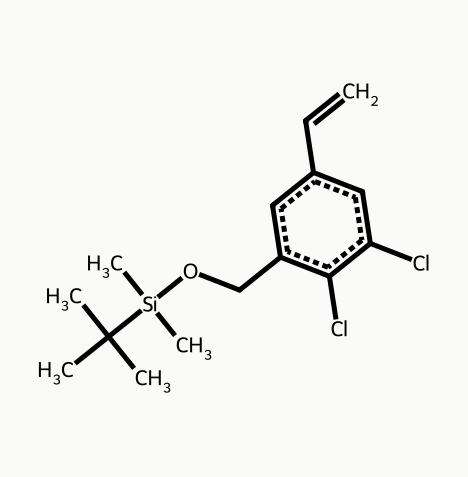 C=Cc1cc(Cl)c(Cl)c(CO[Si](C)(C)C(C)(C)C)c1